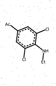 CCNc1c(Cl)cc(C(C)=O)cc1Cl